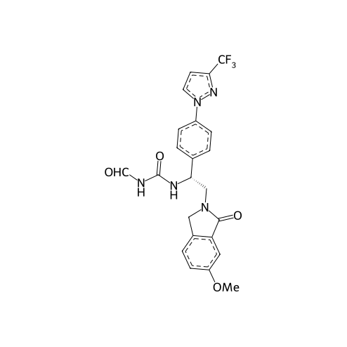 COc1ccc2c(c1)C(=O)N(C[C@H](NC(=O)NC=O)c1ccc(-n3ccc(C(F)(F)F)n3)cc1)C2